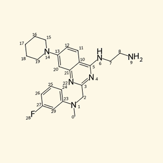 CN(Cc1nc(NCCN)c2ccc(N3CCCCC3)cc2n1)c1cccc(F)c1